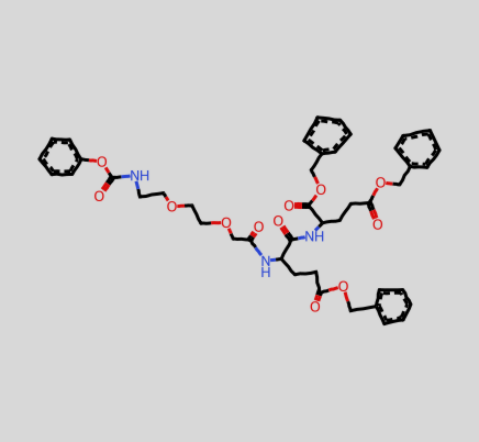 O=C(COCCOCCNC(=O)Oc1ccccc1)NC(CCC(=O)OCc1ccccc1)C(=O)NC(CCC(=O)OCc1ccccc1)C(=O)OCc1ccccc1